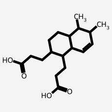 CC1C=CC2C(CCC(=O)O)C(CCC(=O)O)CCC2C1C